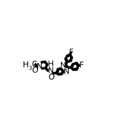 CC(=O)N1CCCC(CNC(=O)c2ccc3nc(-c4ccc(F)cc4)c(-c4ccc(F)cc4)nc3c2)C1